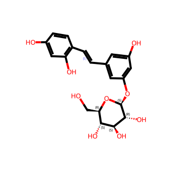 OC[C@H]1O[C@@H](Oc2cc(O)cc(/C=C/c3ccc(O)cc3O)c2)[C@H](O)[C@@H](O)[C@@H]1O